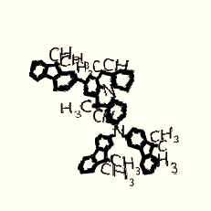 CC1(C)C2=C(CCC=C2)N2c3ccc(N(c4ccc5c(c4)-c4ccccc4C5(C)C)c4ccc5c(c4)C(C)(C)c4ccccc4-5)cc3C(C)(C)c3cc(-c4ccc5c(c4)C(C)(C)c4ccccc4-5)cc1c32